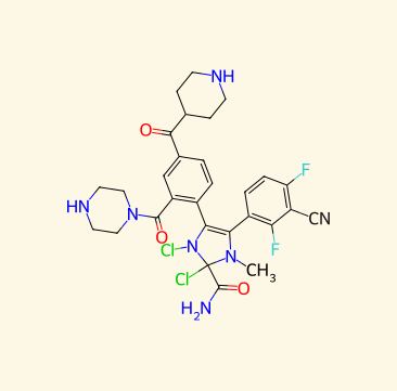 CN1C(c2ccc(F)c(C#N)c2F)=C(c2ccc(C(=O)C3CCNCC3)cc2C(=O)N2CCNCC2)N(Cl)C1(Cl)C(N)=O